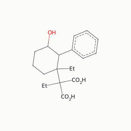 CCC(C(=O)O)(C(=O)O)C1(CC)CCCC(O)C1c1ccccc1